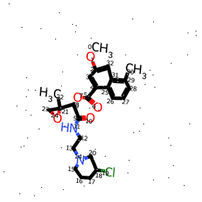 COc1cc(C(=O)O[C@H](C(=O)NCCN2CCCC(Cl)C2)C2(C)CO2)c2cccc(C)c2c1